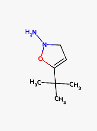 CC(C)(C)C1=CCN(N)O1